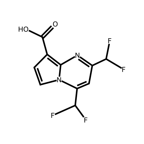 O=C(O)c1ccn2c(C(F)F)cc(C(F)F)nc12